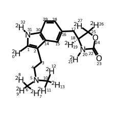 [2H]c1c(CCN(C([2H])([2H])[2H])C([2H])([2H])[2H])c2cc(C[C@]3([2H])N([2H])C(=O)OC3([2H])[2H])ccc2n1[2H]